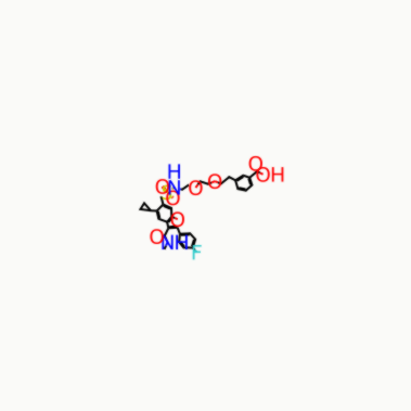 CNC(=O)c1c(-c2ccc(F)cc2)oc2cc(CS(=O)(=O)NCCOCCOCCc3cccc(C(=O)O)c3)c(C3CC3)cc12